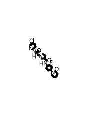 O=C(CN1CCC(C(=O)Nc2ccc(-n3ccccc3=O)cc2F)C1)Nc1ccc(Cl)cn1